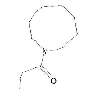 CCC(=O)N1CCCCCCC1